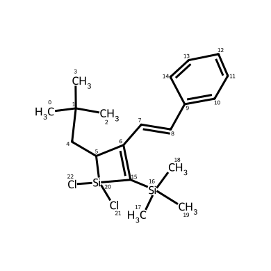 CC(C)(C)CC1C(C=Cc2ccccc2)=C([Si](C)(C)C)[Si]1(Cl)Cl